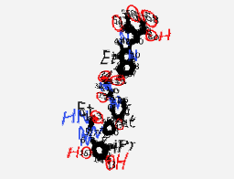 CCNC(=O)c1nnc(-c2cc(C(C)C)c(O)cc2O)n1-c1ccc(OC2(CC)CCN(C(=O)CN(C)C(=O)Oc3ccc4nc5c(c(CC)c4c3)Cn3c-5cc4c(c3=O)COC(=O)[C@H]4O)CC2)cc1